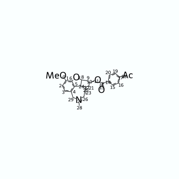 COc1ccc2c3c1OC1C[C@@H](OC(=O)c4ccc(C(C)=O)cc4)CC(C)[C@@]31CCN(C)C2